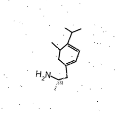 CC(C)C1=CC=C(C[C@H](C)N)CC1C